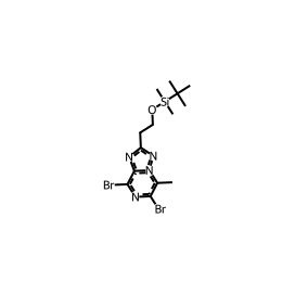 Cc1c(Br)nc(Br)c2nc(CCO[Si](C)(C)C(C)(C)C)nn12